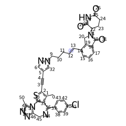 Cc1c(C#Cc2cnn(CCC/C=C/c3cccc4c3CN(C3CCC(=O)NC3=O)C4=O)c2)sc2c1C(c1ccc(Cl)cc1)=NCc1nnc(C)n1-2